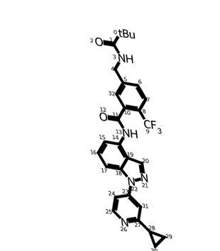 CC(C)(C)C(=O)NCc1ccc(C(F)(F)F)c(C(=O)Nc2cccc3c2cnn3-c2ccnc(C3CC3)c2)c1